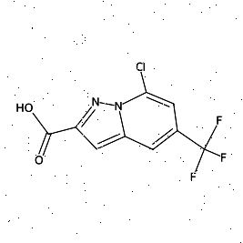 O=C(O)c1cc2cc(C(F)(F)F)cc(Cl)n2n1